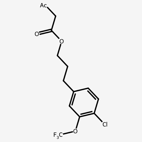 CC(=O)CC(=O)OCCCc1ccc(Cl)c(OC(F)(F)F)c1